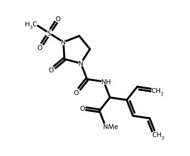 C=C/C=C(\C=C)C(NC(=O)N1CCN(S(C)(=O)=O)C1=O)C(=O)NC